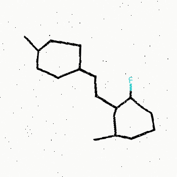 CC1CCC(CCC2C(C)CCCC2F)CC1